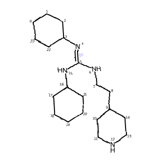 C1CCC(/N=C(/NCCC2CCNCC2)NC2CCCCC2)CC1